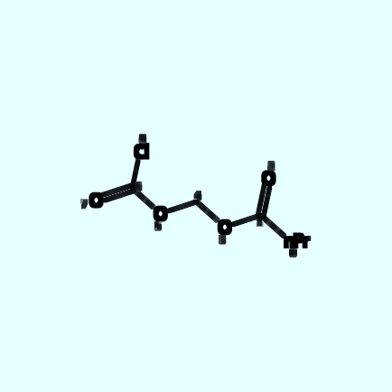 CCCC(=O)OCOC(=O)Cl